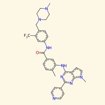 Cc1ccc(C(=O)Nc2ccc(CN3CCN(C)CC3)c(C(F)(F)F)c2)cc1Nc1nc(-c2ccncc2)nc2c1ccn2C